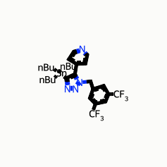 CCC[CH2][Sn]([CH2]CCC)([CH2]CCC)[c]1nnn(Cc2cc(C(F)(F)F)cc(C(F)(F)F)c2)c1-c1ccncc1